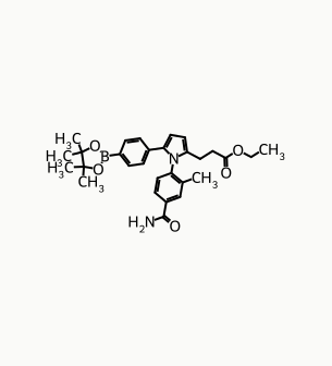 CCOC(=O)CCc1ccc(-c2ccc(B3OC(C)(C)C(C)(C)O3)cc2)n1-c1ccc(C(N)=O)cc1C